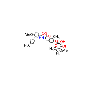 COc1ccc(C(=O)Nc2cc3ccc(O[C@@H]4OC(C)(C)[C@H](OC)[C@@H](O)[C@H]4O)c(C)c3oc2=O)cc1-c1ccc(C)cc1